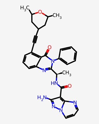 CC1CC(C#Cc2cccc3nc([C@@H](C)NC(=O)c4c(N)nn5cccnc45)n(-c4ccccc4)c(=O)c23)CC(C)O1